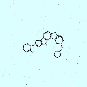 FC1=CCCC=C1C1=Cc2sc3c4c(ccc3c2C1)C[N+]1=C4CC(CC2CCCC2)C=C1